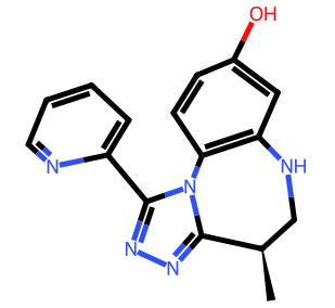 C[C@@H]1CNc2cc(O)ccc2-n2c(-c3ccccn3)nnc21